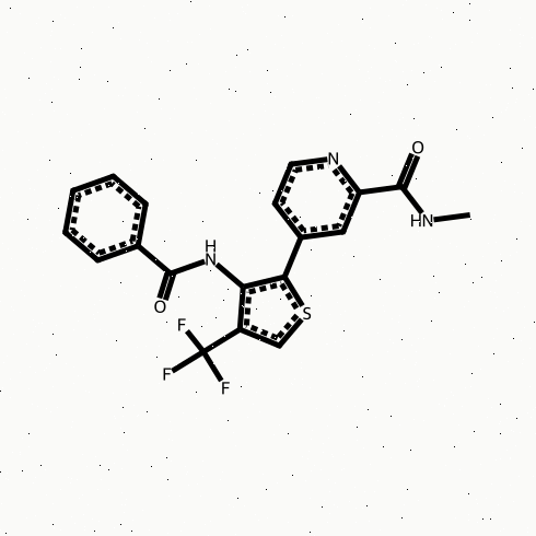 CNC(=O)c1cc(-c2scc(C(F)(F)F)c2NC(=O)c2ccccc2)ccn1